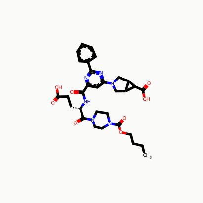 CCCCOC(=O)N1CCN(C(=O)[C@H](CCC(=O)O)NC(=O)c2cc(N3CC4C(C3)C4C(=O)O)nc(-c3ccccc3)n2)CC1